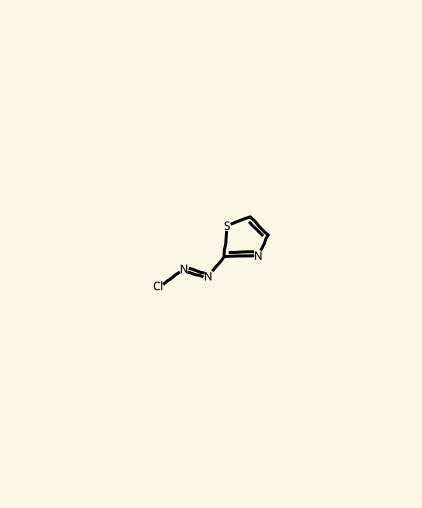 ClN=Nc1nccs1